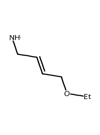 CCOCC=CC[NH]